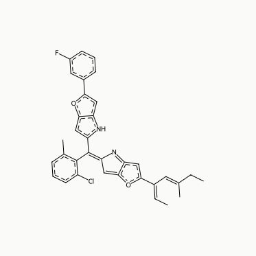 C/C=C(\C=C(/C)CC)c1cc2c(o1)=C/C(=C(/c1cc3oc(-c4cccc(F)c4)cc3[nH]1)c1c(C)cccc1Cl)N=2